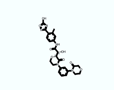 Cc1cc(NC(=O)[C@H](O)[C@H]2OCCN(c3cccc(N4CCOCC4=O)c3)C2=O)ccc1-c1noc(O)n1